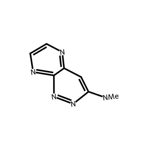 CNc1cc2nccnc2nn1